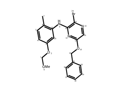 COCOc1ccc(C)c(Nc2nc(OCc3ccccc3)cnc2Br)c1